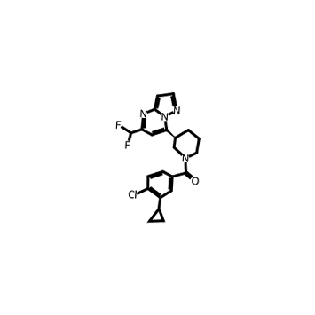 O=C(c1ccc(Cl)c(C2CC2)c1)N1CCC[C@H](c2cc(C(F)F)nc3ccnn23)C1